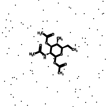 CC[C@H]1OC(OC(C)=O)[C@H](NC(C)=O)[C@@H](OC(C)=O)[C@@H]1C